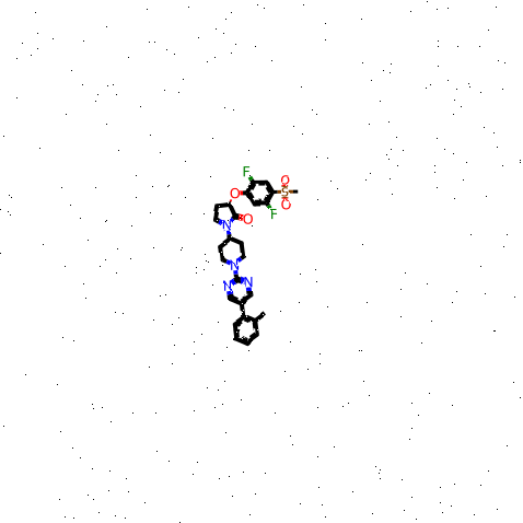 Cc1ccccc1-c1cnc(N2CCC(N3CC[C@H](Oc4cc(F)c(S(C)(=O)=O)cc4F)C3=O)CC2)nc1